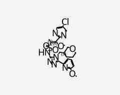 COc1cccc(-c2nnc(NS(=O)(=O)[C@@H](C)[C@H](OC)c3ncc(Cl)cn3)n2C[C@@H]2CCCOC2)n1